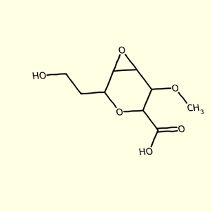 COC1C(C(=O)O)OC(CCO)C2OC21